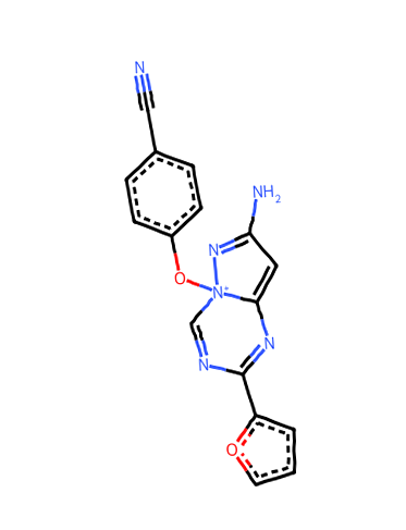 N#Cc1ccc(O[N+]23C=NC(c4ccco4)=NC2=CC(N)=N3)cc1